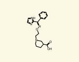 O=C(O)C1CCCN(CCON=C(c2ccccc2)c2ncc[nH]2)C1